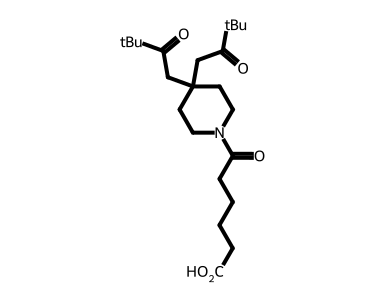 CC(C)(C)C(=O)CC1(CC(=O)C(C)(C)C)CCN(C(=O)CCCCC(=O)O)CC1